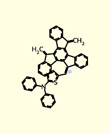 C=C1c2ccccc2-c2c1c1c(c3c2/C(=C\c2ccc(N(c4ccccc4)c4ccccc4)s2)c2ccccc2-3)C(=C)c2ccccc2-1